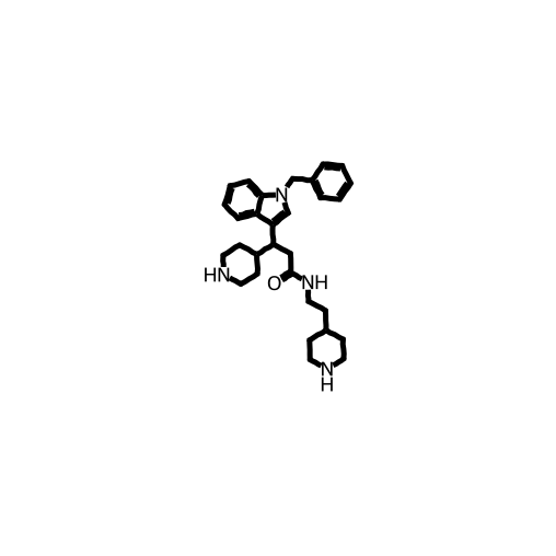 O=C(CC(c1cn(Cc2ccccc2)c2ccccc12)C1CCNCC1)NCCC1CCNCC1